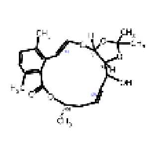 Cc1ccc(C)c2c1/C=C/C[C@@H]1OC(C)(C)O[C@@H]1C(O)/C=C\C[C@H](C)OC2=O